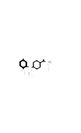 CC(C)NC(=O)C1CCC(Nc2cc(F)ccc2[N+](=O)[O-])CC1